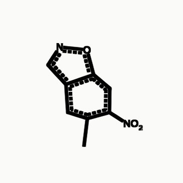 Cc1cc2cnoc2cc1[N+](=O)[O-]